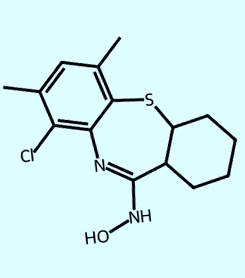 Cc1cc(C)c2c(c1Cl)N=C(NO)C1CCCCC1S2